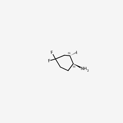 N[C@H]1CCC(F)(F)C[C@@H]1I